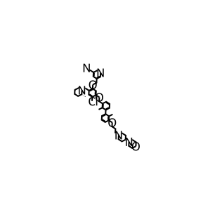 Cc1c(COc2cc(OCc3cncc(C#N)c3)c(CN3CCCC[C@H]3C)cc2Cl)cccc1-c1cccc(OCCCN2CCC(N3CCOCC3)CC2)c1C